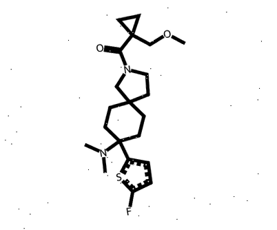 COCC1(C(=O)N2CCC3(CCC(c4ccc(F)s4)(N(C)C)CC3)C2)CC1